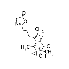 CC1=C(CCCC2=NCC(=O)O2)C2=C(C)C3(CC3)[C@@](C)(O)C(=O)C2=C1